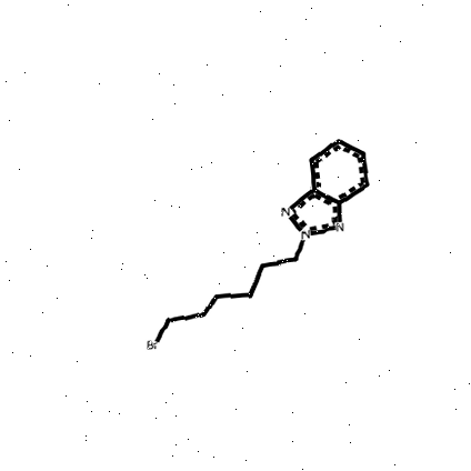 BrCCCCCCn1nc2ccccc2n1